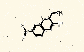 CCC1Oc2cc([N+](=O)[O-])ccc2C=C1O